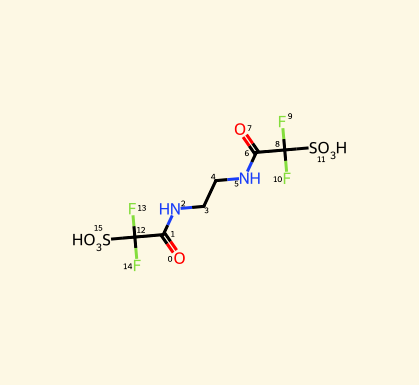 O=C(NCCNC(=O)C(F)(F)S(=O)(=O)O)C(F)(F)S(=O)(=O)O